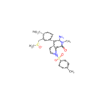 Cc1ccc(S(=O)(=O)n2ccc3c(-c4ccc(C(=O)O)c(C[S+](C)[O-])c4)c(N)n(C)c(=O)c32)cc1